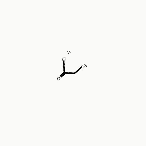 CCCCC(=O)Cl.[V]